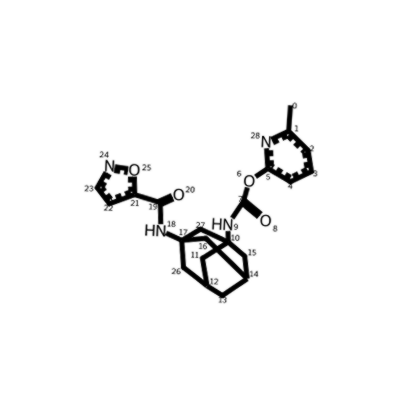 Cc1cccc(OC(=O)NC23CC4CC(C2)CC(NC(=O)c2ccno2)(C4)C3)n1